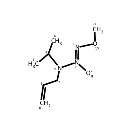 C=CCN(C(C)C)/[N+]([O-])=N/OC